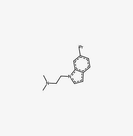 CC(C)c1ccc2ccn(CCN(C)C)c2c1